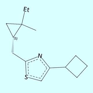 CCC1(C)C[C@H]1Cc1nc(C2CCC2)cs1